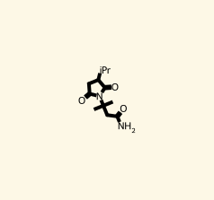 CC(C)C1CC(=O)N(C(C)(C)CC(N)=O)C1=O